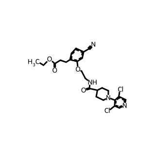 CCOC(=O)CCc1ccc(C#N)cc1OCCNC(=O)C1CCN(c2c(Cl)cncc2Cl)CC1